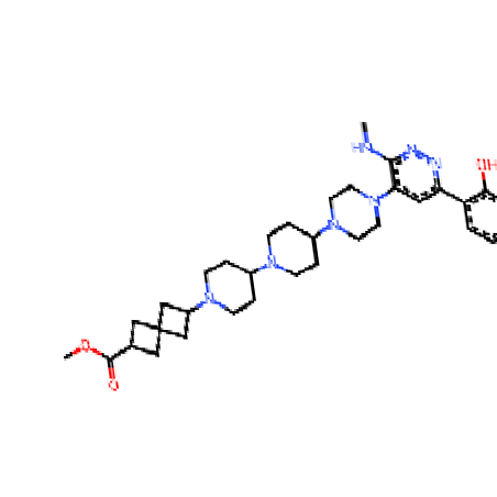 CNc1nnc(-c2ccccc2O)cc1N1CCN(C2CCN(C3CCN(C4CC5(CC(C(=O)OC)C5)C4)CC3)CC2)CC1